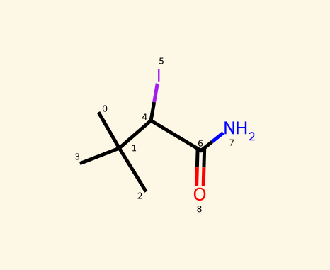 CC(C)(C)C(I)C(N)=O